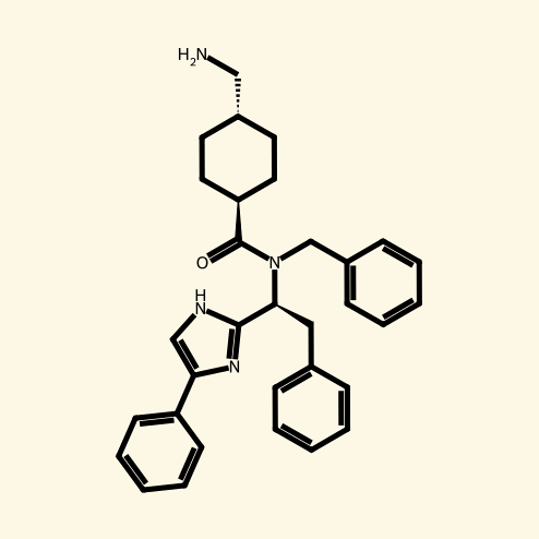 NC[C@H]1CC[C@H](C(=O)N(Cc2ccccc2)[C@@H](Cc2ccccc2)c2nc(-c3ccccc3)c[nH]2)CC1